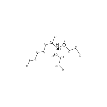 CCCCCCC(C)[SiH](OCCC)OCCC